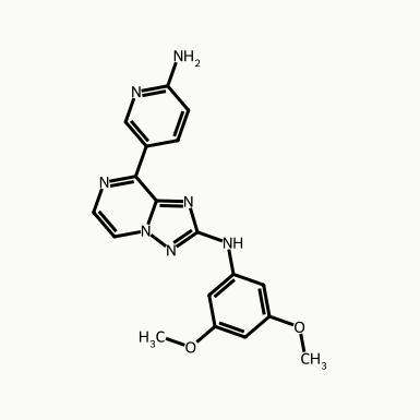 COc1cc(Nc2nc3c(-c4ccc(N)nc4)nccn3n2)cc(OC)c1